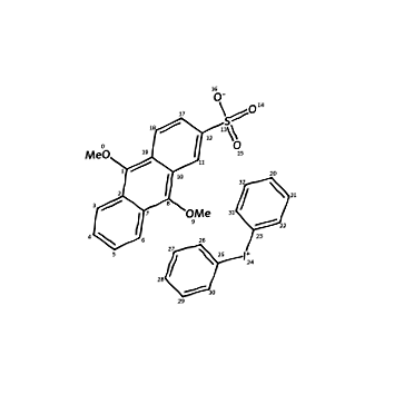 COc1c2ccccc2c(OC)c2cc(S(=O)(=O)[O-])ccc12.c1ccc([I+]c2ccccc2)cc1